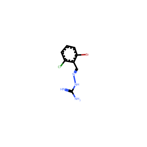 N=C(N)NN=Cc1c(Cl)cccc1Br